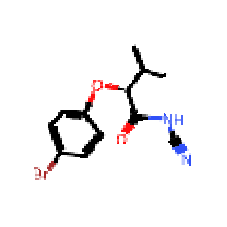 CC(C)[C@H](Oc1ccc(Br)cc1)C(=O)NC#N